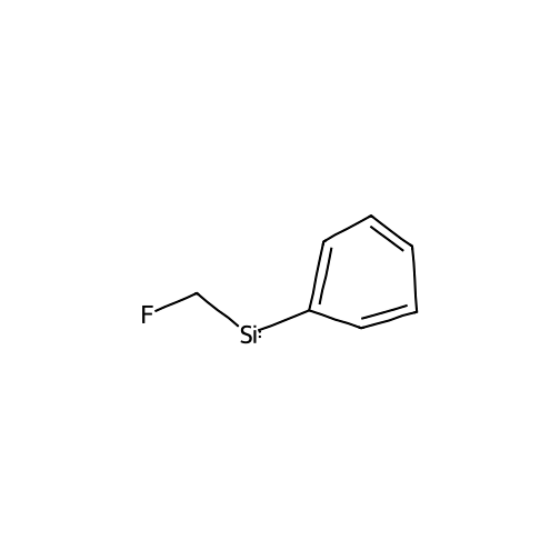 FC[Si]c1ccccc1